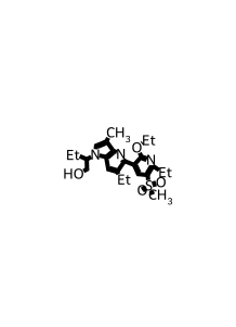 CCOc1nc(CC)c(S(C)(=O)=O)cc1-c1nc2c(C)cn(C(CC)CO)c2cc1CC